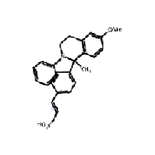 COc1ccc2c(c1)CCN(c1ccccc1)C2(C)c1ccc(/C=C/C(=O)O)cc1